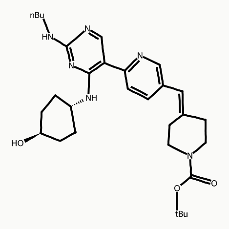 CCCCNc1ncc(-c2ccc(C=C3CCN(C(=O)OC(C)(C)C)CC3)cn2)c(N[C@H]2CC[C@H](O)CC2)n1